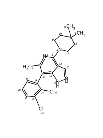 Cc1nc(N2CCC(C)(C)CC2)c2cn[nH]c2c1-c1cccc(Cl)c1Cl